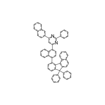 c1ccc(-c2nc(-c3ccc4ccccc4c3)cc(-c3ccc(-c4cccc5c4-c4c(ccc6ccccc46)C5(c4ccccc4)c4ccccc4)c4ccccc34)n2)cc1